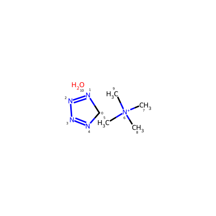 C1N=NN=N1.C[N+](C)(C)C.O